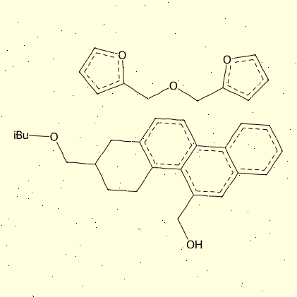 CCC(C)OCC1CCc2c(ccc3c2c(CO)cc2ccccc23)C1.c1coc(COCc2ccco2)c1